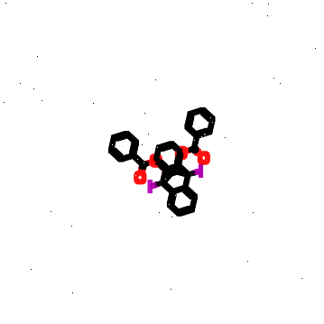 O=C(OC1C(OC(=O)c2ccccc2)[C@]2(I)c3ccccc3[C@@]1(I)c1ccccc12)c1ccccc1